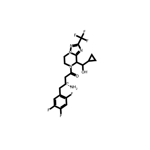 N[C@@H](CC(=O)N1CCn2nc(C(F)(F)F)nc2C1C(O)C1CC1)Cc1cc(F)c(F)cc1F